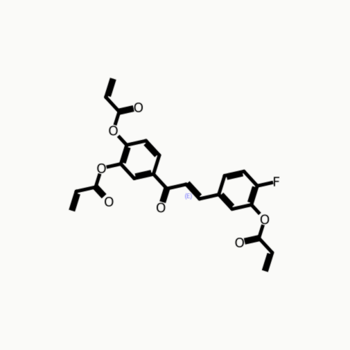 C=CC(=O)Oc1cc(/C=C/C(=O)c2ccc(OC(=O)C=C)c(OC(=O)C=C)c2)ccc1F